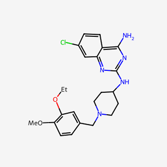 CCOc1cc(CN2CCC(Nc3nc(N)c4ccc(Cl)cc4n3)CC2)ccc1OC